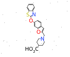 O=C(O)C1CCN(Cc2cc3ccc(Oc4nc5ccccc5s4)cc3o2)CC1